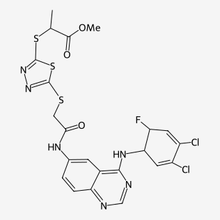 COC(=O)C(C)Sc1nnc(SCC(=O)Nc2ccc3ncnc(NC4C=C(Cl)C(Cl)=CC4F)c3c2)s1